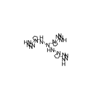 c1cc(CNCCN(CCNCc2cccc(-c3nnn[nH]3)n2)Cc2cccc(-c3nnn[nH]3)n2)nc(-c2nnn[nH]2)c1